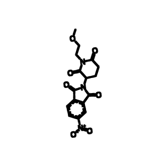 COCCN1C(=O)CCC(N2C(=O)c3ccc([N+](=O)[O-])cc3C2=O)C1=O